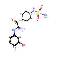 N=C(Nc1ccc(F)c(Br)c1)C(=O)[C@H]1CC[C@H](NS(N)(=O)=O)CC1